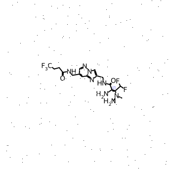 CN(N)/C(=C(\N)C(=O)NCc1cn2ncc(CNC(=O)CCC(F)(F)F)cc2n1)C(F)F